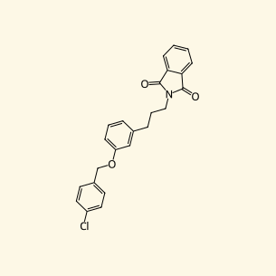 O=C1c2ccccc2C(=O)N1CCCc1cccc(OCc2ccc(Cl)cc2)c1